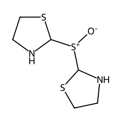 [O-][S+](C1NCCS1)C1NCCS1